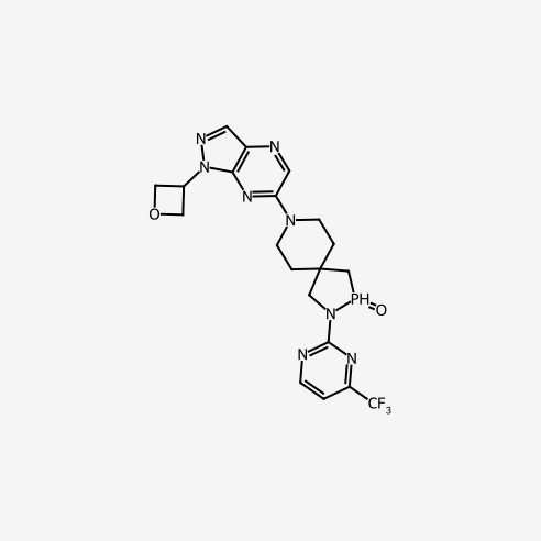 O=[PH]1CC2(CCN(c3cnc4cnn(C5COC5)c4n3)CC2)CN1c1nccc(C(F)(F)F)n1